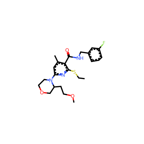 CCSc1nc(N2CCOCC2CCOC)cc(C)c1C(=O)NCc1cccc(F)c1